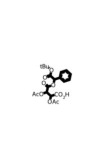 CC(=O)OC(C(=O)O)C(OC(C)=O)C(=O)OC(C(=O)OC(C)(C)C)c1ccccc1